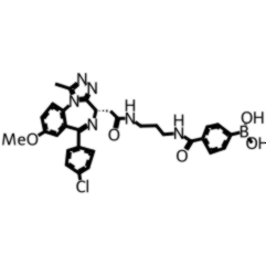 COc1ccc2c(c1)C(c1ccc(Cl)cc1)=N[C@@H](CC(=O)NCCCNC(=O)c1ccc(B(O)O)cc1)c1nnc(C)n1-2